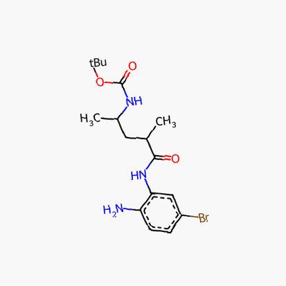 CC(CC(C)C(=O)Nc1cc(Br)ccc1N)NC(=O)OC(C)(C)C